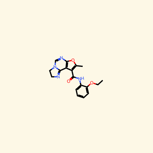 CCOc1ccccc1NC(=O)c1c(C)oc2c1C1=NCCN1C=N2